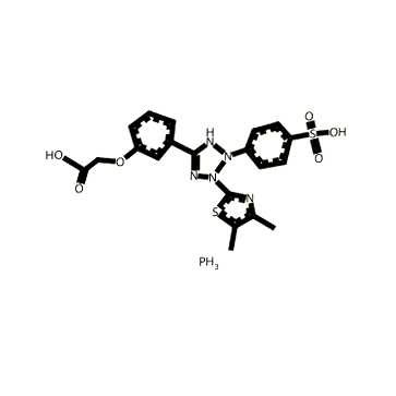 Cc1nc(N2N=C(c3cccc(OCC(=O)O)c3)NN2c2ccc(S(=O)(=O)O)cc2)sc1C.P